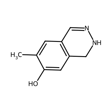 Cc1cc2c(cc1O)CNN=C2